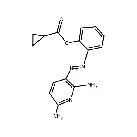 Cc1ccc(/N=N/c2ccccc2OC(=O)C2CC2)c(N)n1